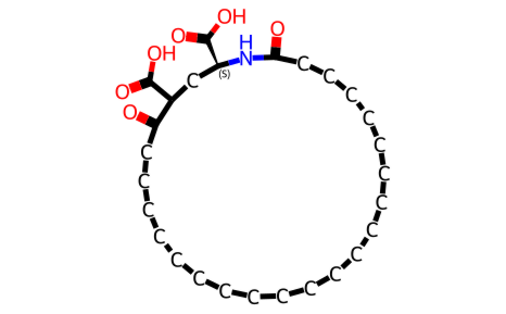 O=C1CCCCCCCCCCCCCCCCCCCCC(=O)C(C(=O)O)C[C@@H](C(=O)O)N1